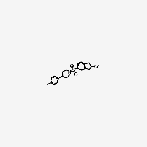 CC(=O)C1Cc2ccc(S(=O)(=O)N3CC=C(c4ccc(C)cc4)CC3)cc2C1